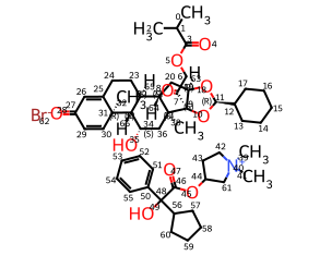 CC(C)C(=O)OCC(=O)[C@@]12O[C@H](C3CCCCC3)O[C@@H]1C[C@H]1[C@@H]3CCC4=CC(=O)C=C[C@]4(C)[C@H]3[C@@H](O)C[C@@]12C.C[N+]1(C)CCC(OC(=O)C(O)(c2ccccc2)C2CCCC2)C1.[Br-]